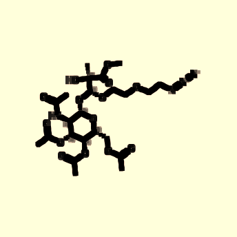 COC(=O)[C@](C)(O)[C@H](OCCOCCN=[N+]=[N-])O[C@@H]1O[C@H](COC(C)=O)[C@@H](OC(C)=O)[C@H](OC(C)=O)[C@H]1NC(C)=O